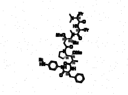 CCNc1ccc(NC(=O)[C@H](Cc2ccccc2)NC(=O)[C@H](C)[C@@H](OC)[C@@H]2CCCN2C(=O)C[C@@H](OC)[C@H]([C@@H](C)CC)N(C)C(=O)[C@@H](NC(=O)[C@H](C(C)C)N(C)C)C(C)C)cc1